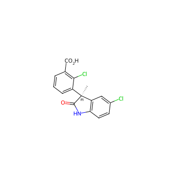 C[C@@]1(c2cccc(C(=O)O)c2Cl)C(=O)Nc2ccc(Cl)cc21